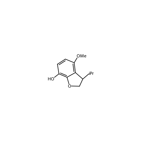 COc1ccc(O)c2c1C(C(C)C)CO2